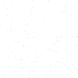 C=C1c2ccccc2Oc2cc(OC)ccc21